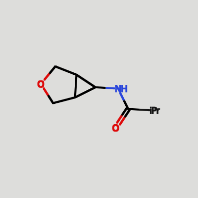 CC(C)C(=O)NC1C2COCC21